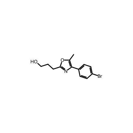 Cc1oc(CCCO)nc1-c1ccc(Br)cc1